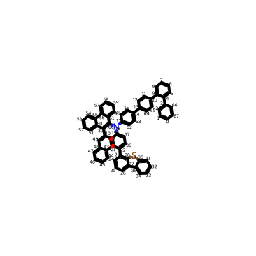 c1ccc(-c2ccccc2-c2ccc(-c3ccc(N(c4ccc(-c5cccc6c5sc5ccccc56)cc4)c4c(-c5ccc6ccccc6c5)c5ccccc5c5ccccc45)cc3)cc2)cc1